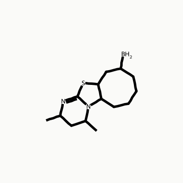 BC1CCCCC2C(C1)SC1=NC(C)CC(C)N12